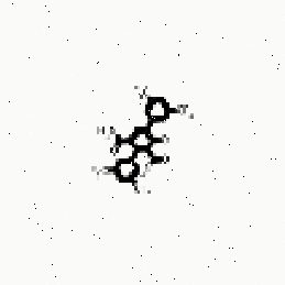 NC(=O)c1cc(-c2cc(C(F)(F)F)cc(C(F)(F)F)c2)c(O)c(C(N)=O)c1-c1cc(C(F)(F)F)cc(C(F)(F)F)c1